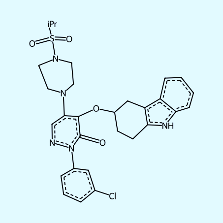 CC(C)S(=O)(=O)N1CCN(c2cnn(-c3cccc(Cl)c3)c(=O)c2OC2CCc3[nH]c4ccccc4c3C2)CC1